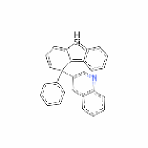 C1=CC(c2ccccc2)(c2cnc3ccccc3c2)C2=c3ccccc3=[SiH]C2=C1